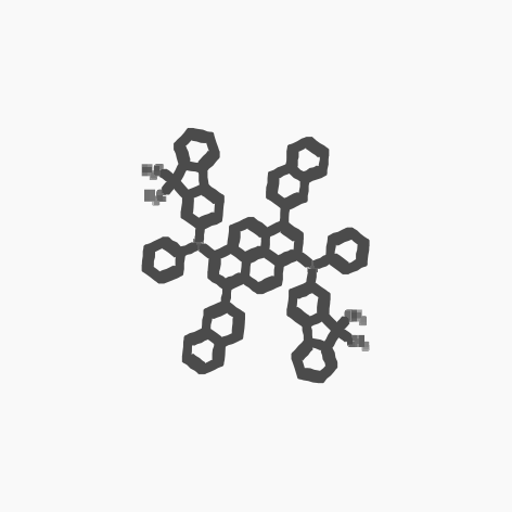 CC1(C)c2ccccc2-c2ccc(N(c3ccccc3)c3cc(-c4ccc5ccccc5c4)c4ccc5c(N(c6ccccc6)c6ccc7c(c6)C(C)(C)c6ccccc6-7)cc(-c6ccc7ccccc7c6)c6ccc3c4c65)cc21